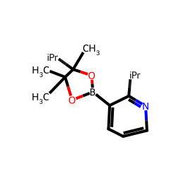 CC(C)c1ncccc1B1OC(C)(C)C(C)(C(C)C)O1